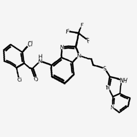 O=C(Nc1cccc2c1nc(C(F)(F)F)n2CCSc1nc2ncccc2[nH]1)c1c(Cl)cccc1Cl